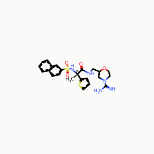 C[C@@](NS(=O)(=O)c1ccc2ccccc2c1)(C(=O)NCC1CN(C(=N)N)CCO1)c1cccs1